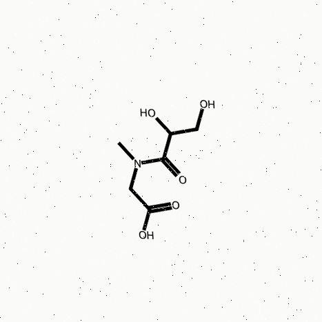 CN(CC(=O)O)C(=O)C(O)CO